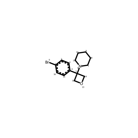 Brc1ccc(C2(N3CCCCC3)COC2)cc1